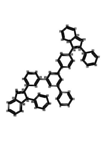 c1ccc(-c2cc(-c3ccc(-c4c(-c5ccccc5)nc5ccccn45)cc3)cc(-c3cccc(-c4nc5ccccc5n4-c4ccccc4)c3)c2)cc1